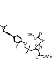 COC(=O)c1nc(N(C)C(=O)OC(C)(C)C)sc1CC(C)(C)COc1ccc(C#CCN(C)C)cc1F